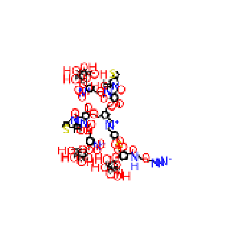 COc1cc2c(cc1OCc1cc(COc3cc4c(cc3OC)C(=O)N3Cc5ccsc5C[C@H]3C(O)N4C(=O)OCc3ccc(O[C@@H]4O[C@H](CO)[C@H](O)[C@H](O)[C@H]4O)c([N+](=O)[O-])c3)cc(C[N+](C)(C)Cc3ccc(OS(=O)(=O)Oc4cc(C(=O)NCCOCCN=[N+]=[N-])ccc4O[C@@H]4O[C@H](CO)[C@H](O)[C@H](O)[C@@H]4O)cc3)c1)N(C(=O)OCc1ccc(O[C@@H]3O[C@H](CO)[C@H](O)[C@H](O)[C@H]3O)c([N+](=O)[O-])c1)C(O)[C@@H]1Cc3sccc3CN1C2=O